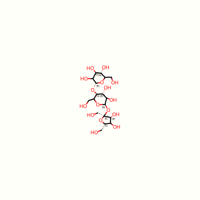 OCC1O[C@H](O[C@@H]2C(CO)O[C@H](O[C@]3(CO)O[C@@H](CO)C(O)[C@H]3O)C(O)[C@H]2O)C(O)[C@@H](O)[C@@H]1O